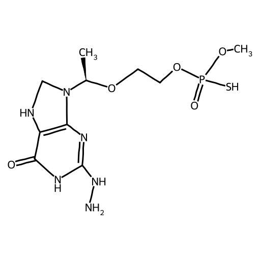 COP(=O)(S)OCCO[C@H](C)N1CNc2c1nc(NN)[nH]c2=O